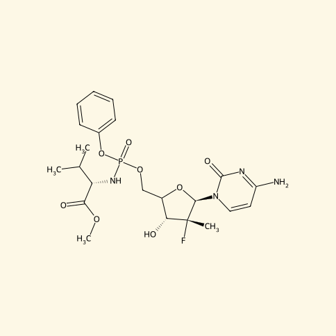 COC(=O)[C@@H](NP(=O)(OCC1O[C@@H](n2ccc(N)nc2=O)[C@](C)(F)[C@@H]1O)Oc1ccccc1)C(C)C